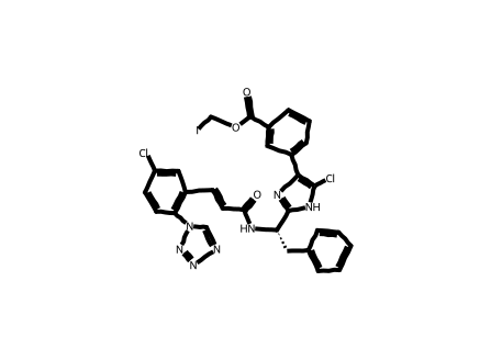 O=C(/C=C/c1cc(Cl)ccc1-n1cnnn1)N[C@@H](Cc1ccccc1)c1nc(-c2cccc(C(=O)OCI)c2)c(Cl)[nH]1